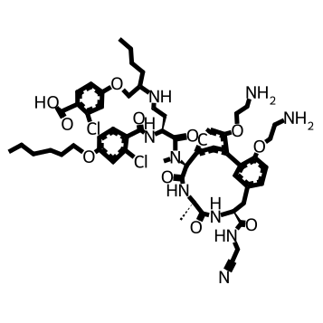 CCCCCCOc1ccc(C(=O)N[C@@H](CCNC(CCCC)COc2ccc(C(=O)O)c(Cl)c2)C(=O)N(C)[C@@H]2C(=O)N[C@@H](C)C(=O)N[C@H](C(=O)NCC#N)Cc3ccc(OCCN)c(c3)-c3cc2ccc3OCCN)c(Cl)c1